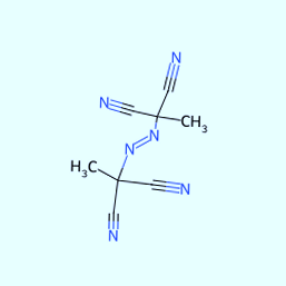 CC(C#N)(C#N)N=NC(C)(C#N)C#N